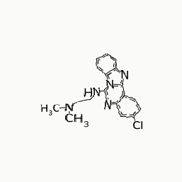 CN(C)CCNc1nc2cc(Cl)ccc2c2nc3ccccc3n12